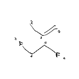 C=CC.FCCF